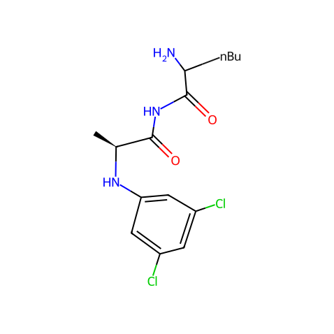 CCCCC(N)C(=O)NC(=O)[C@H](C)Nc1cc(Cl)cc(Cl)c1